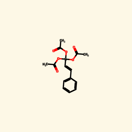 CC(=O)O[Si](C=Cc1ccccc1)(OC(C)=O)OC(C)=O